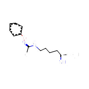 C/C(=N/Oc1ccccc1)NCCCC[C@H](N)C(=O)O